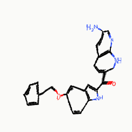 Nc1cnc2[nH]c(C(=O)c3cc4cc(OCc5ccccc5)ccc4[nH]3)cc2c1